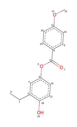 CCc1cc(OC(=O)c2ccc(OC)cc2)ccc1O